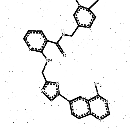 Cc1ccc(CNC(=O)c2cccnc2NCc2nc(-c3ccc4ncnc(N)c4c3)cs2)cc1C